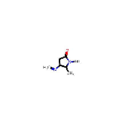 BN1C(=O)CC(N=C)C1C